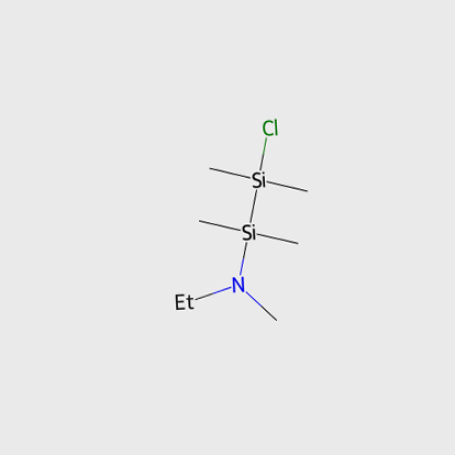 CCN(C)[Si](C)(C)[Si](C)(C)Cl